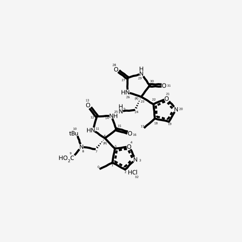 Cc1cnoc1[C@@]1(CN(C(=O)O)C(C)(C)C)NC(=O)NC1=O.Cc1cnoc1[C@@]1(CN)NC(=O)NC1=O.Cl